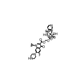 O=C(OCOC(=O)c1cn(C2CC2)c2cc(N3CCNCC3)c(F)cc2c1=O)OC(Cc1cccnc1)(P(=O)(O)O)P(=O)(O)O